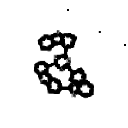 c1ccc(-c2nc(-c3cccc4sc5ccccc5c34)nc(-c3cccc4sc5ccc(-c6nc7ccccc7o6)cc5c34)n2)cc1